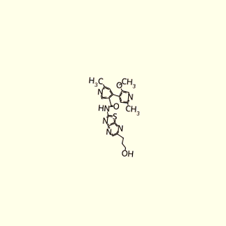 COc1cnc(C)cc1-c1cc(C)ncc1C(=O)Nc1nc2ncc(CCCO)nc2s1